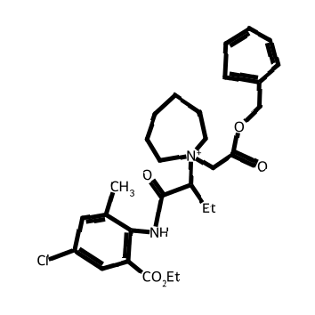 CCOC(=O)c1cc(Cl)cc(C)c1NC(=O)C(CC)[N+]1(CC(=O)OCc2ccccc2)CCCCCC1